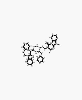 Cc1nc2n(C)c3ccccc3n2c(=O)c1CCN1CCC(C2c3ccccc3CCn3c2nc2ccccc23)CC1Cc1ccccc1